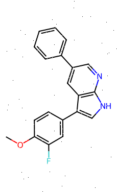 COc1ccc(-c2c[nH]c3ncc(-c4ccccc4)cc23)cc1F